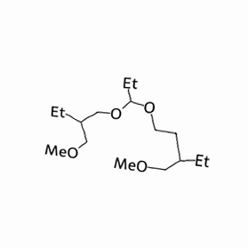 CCC(CCOC(CC)OCC(CC)COC)COC